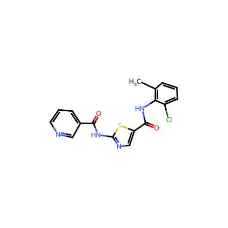 Cc1cccc(Cl)c1NC(=O)c1cnc(NC(=O)c2cccnc2)s1